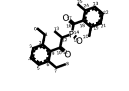 CCc1cccc(CC)c1C(=O)C(C)[P](=O)C(=O)c1c(C)cccc1C